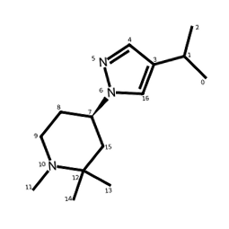 CC(C)c1cnn([C@@H]2CCN(C)C(C)(C)C2)c1